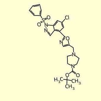 CC(C)(C)OC(=O)N1CCN(Cc2cnc(-c3cc(Cl)cc4c3cnn4S(=O)(=O)c3ccccc3)o2)CC1